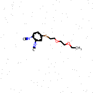 [C-]#[N+]c1ccc(SCCOCCOCC)cc1[N+]#[C-]